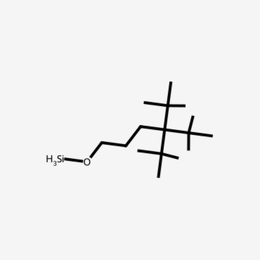 CC(C)(C)C(CCCO[SiH3])(C(C)(C)C)C(C)(C)C